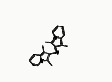 CC1=c2cccc[n+]2=C(C)/C1=N\c1c(C)c2ccccn2c1C